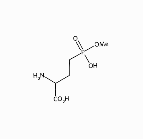 COP(=O)(O)CCC(N)C(=O)O